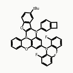 CC(C)(C)c1ccc2oc3c(c2c1)N(c1ccc2c(c1)CC2)c1cc(N(c2c(F)cccc2F)c2c(F)cccc2F)cc2c1B3c1ccccc1O2